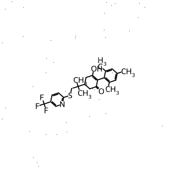 Cc1cc(C)c(C2=C(O)CC(C(C)(C)CSc3ccc(C(F)(F)F)cn3)CC2=O)c(C)c1